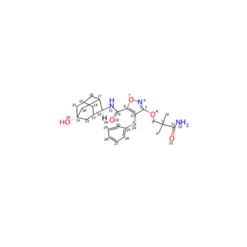 CC(C)(COc1noc(C(=O)N[C@H]2C3CC4CC2C[C@](O)(C4)C3)c1Sc1ccccc1)C(N)=O